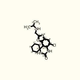 CC(C)NCc1nc2cc(Cl)c3c(c2o1)C1(CCCCC1)NC(=O)N3